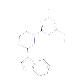 CNc1cc(N2CCNC(c3cnc4ccccn34)C2)nc(N)n1